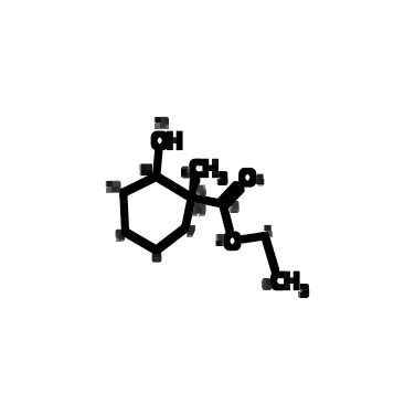 CCOC(=O)[C@]1(C)CCCCC1O